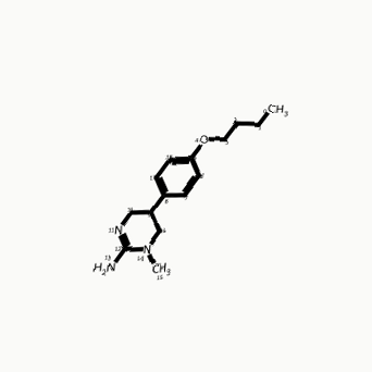 CCCCOc1ccc(C2CN=C(N)N(C)C2)cc1